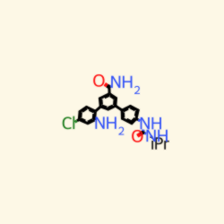 CC(C)NC(=O)Nc1ccc(-c2cc(C(N)=O)cc(-c3ccc(Cl)cc3N)c2)cc1